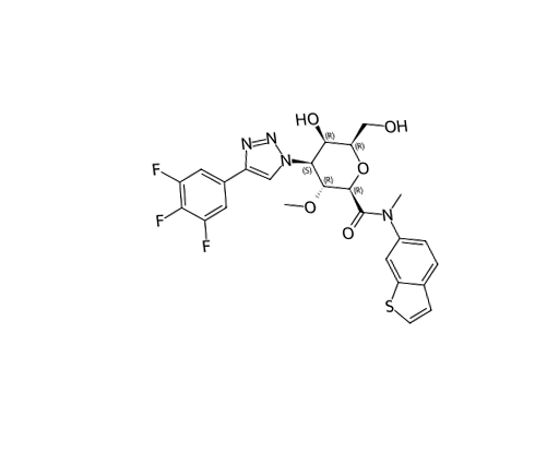 CO[C@@H]1[C@@H](n2cc(-c3cc(F)c(F)c(F)c3)nn2)[C@@H](O)[C@@H](CO)O[C@H]1C(=O)N(C)c1ccc2ccsc2c1